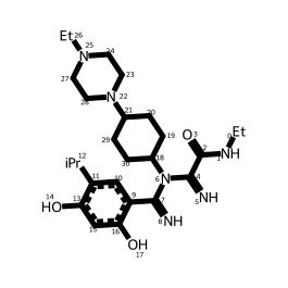 CCNC(=O)C(=N)N(C(=N)c1cc(C(C)C)c(O)cc1O)C1CCC(N2CCN(CC)CC2)CC1